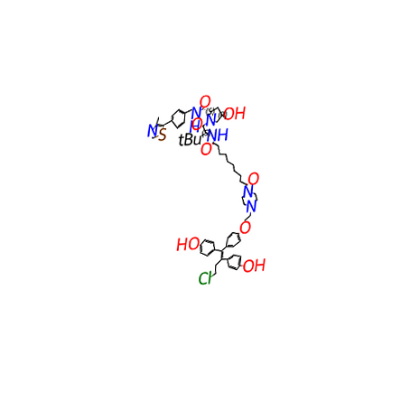 Cc1ncsc1-c1ccc(CNC(=O)[C@@H]2C[C@@H](O)CN2C(=O)[C@@H](NC(=O)CCCCCCCCC(=O)N2CCN(CCOc3ccc(C(=C(CCCl)c4ccc(O)cc4)c4ccc(O)cc4)cc3)CC2)C(C)(C)C)cc1